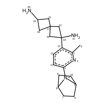 Cc1nc(N2C3CCC2CC3)ccc1C1(N)CC2(CC(N)C2)C1